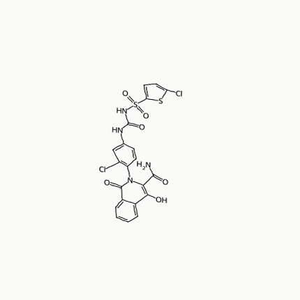 NC(=O)c1c(O)c2ccccc2c(=O)n1-c1ccc(NC(=O)NS(=O)(=O)c2ccc(Cl)s2)cc1Cl